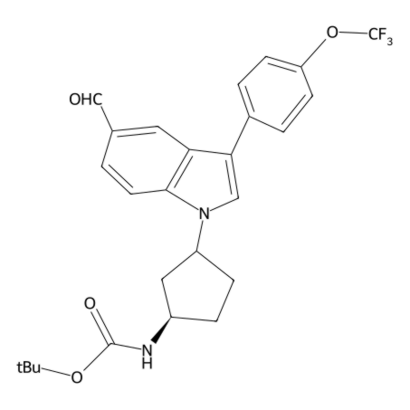 CC(C)(C)OC(=O)N[C@@H]1CCC(n2cc(-c3ccc(OC(F)(F)F)cc3)c3cc(C=O)ccc32)C1